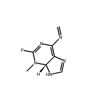 C=NC1=C2N=CN[C@@H]2N(C)C(F)=N1